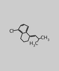 CC(C)C=C1CCCc2c(Cl)cccc21